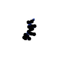 N#Cc1ccc(-c2nc(-n3c4ccccc4c4c5c6c7ccc(-c8ccc9nc(-n%10c%11ccccc%11c%11c%12c%13c%14ccccc%14ccc%13n%13c%14ccccc%14c(cc%11%10)c%12%13)nc(-c%10ccc(-c%11ccccc%11)cc%10)c9c8)cc7ccc6n6c7ccccc7c(cc43)c56)nc3ccccc23)cc1